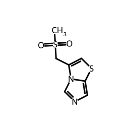 CS(=O)(=O)Cc1csc2cncn12